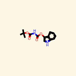 CC(C)(C)OC(=O)NC(=O)Oc1c[nH]c2ccccc12